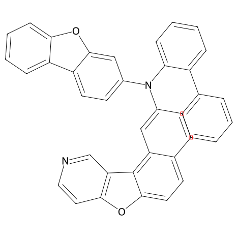 c1ccc(-c2ccccc2N(c2ccc3c(c2)oc2ccccc23)c2ccc3ccc4oc5ccncc5c4c3c2)cc1